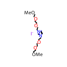 COCCOCCOCCn1cc[n+](CCOCCOCCOC)c1.[I-]